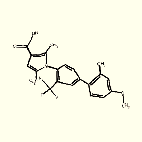 COc1ccc(-c2ccc(-n3c(C)cc(C(=O)O)c3C)c(C(F)(F)F)c2)c(C)c1